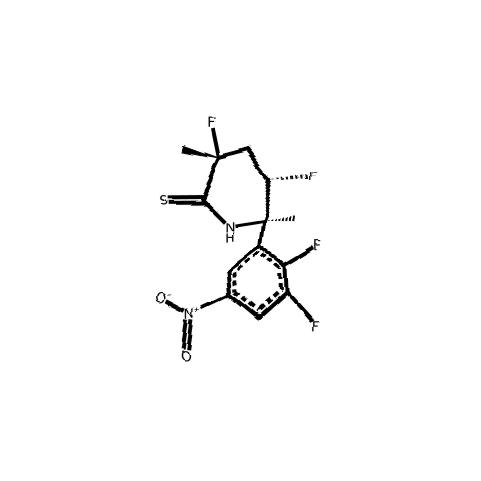 C[C@@]1(F)C[C@H](F)[C@@](C)(c2cc([N+](=O)[O-])cc(F)c2F)NC1=S